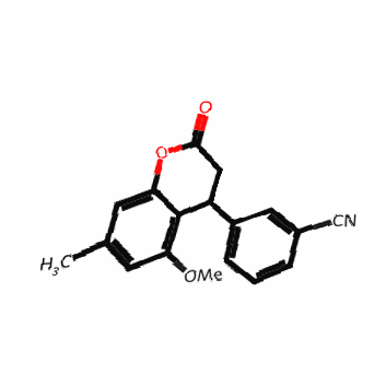 COc1cc(C)cc2c1C(c1cccc(C#N)c1)CC(=O)O2